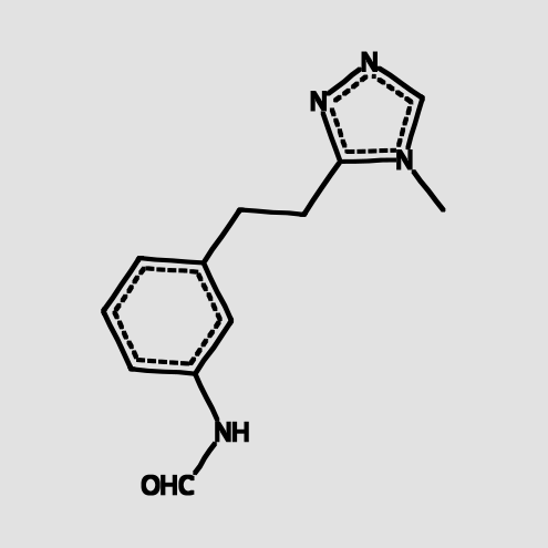 Cn1cnnc1CCc1cccc(NC=O)c1